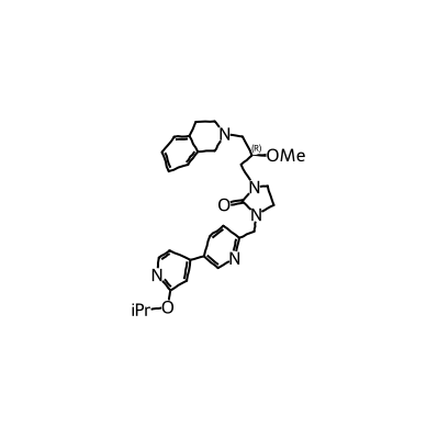 CO[C@H](CN1CCc2ccccc2C1)CN1CCN(Cc2ccc(-c3ccnc(OC(C)C)c3)cn2)C1=O